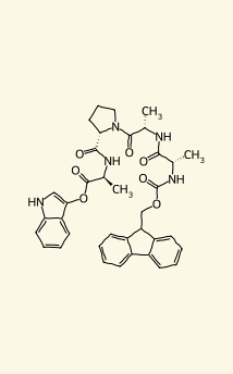 C[C@H](NC(=O)OCC1c2ccccc2-c2ccccc21)C(=O)N[C@@H](C)C(=O)N1CCC[C@H]1C(=O)N[C@@H](C)C(=O)Oc1c[nH]c2ccccc12